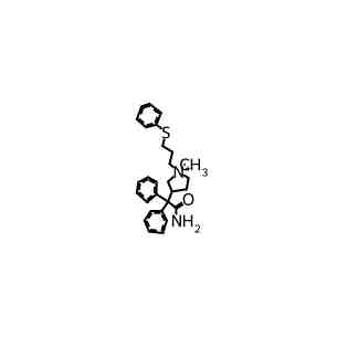 C[N@+]1(CCCSc2ccccc2)CCC(C(C(N)=O)(c2ccccc2)c2ccccc2)C1